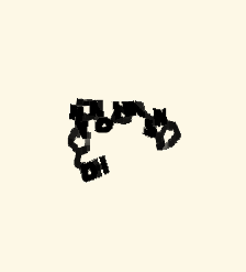 OCC1CCN(c2nccnc2O[C@H]2C[C@H](Nc3nc4ccccc4s3)C2)CC1